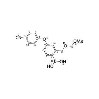 [C-]#[N+]c1ccc(Oc2ccc(B(O)O)c(COCOC)c2)cc1